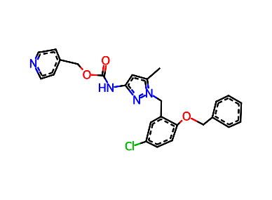 Cc1cc(NC(=O)OCc2ccncc2)nn1Cc1cc(Cl)ccc1OCc1ccccc1